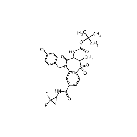 C[C@@H]1[C@H](NC(=O)OC(C)(C)C)C(=O)N(Cc2ccc(Cl)cc2)c2cc(C(=O)NC3CC3(F)F)ccc2S1(=O)=O